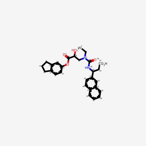 CC(C)CN(CC(O)C(=O)Oc1ccc2c(c1)CCC2)C(=O)NC(CC(=O)O)c1ccc2ccccc2c1